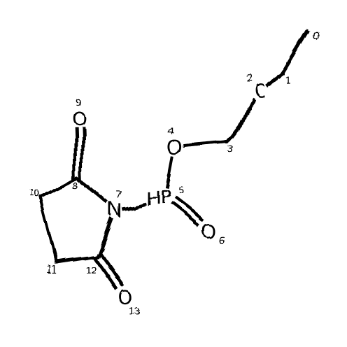 CCCCO[PH](=O)N1C(=O)CCC1=O